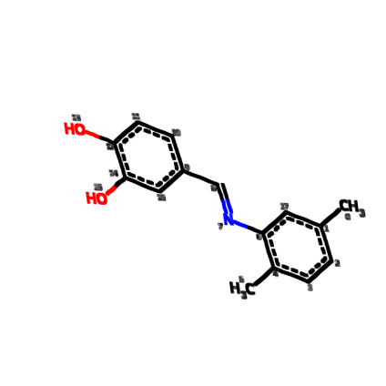 Cc1ccc(C)c(/N=C/c2ccc(O)c(O)c2)c1